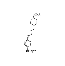 CCCCCCCC[C@H]1CC[C@H](CCCOc2ccc(CCCCCCC)cc2)CC1